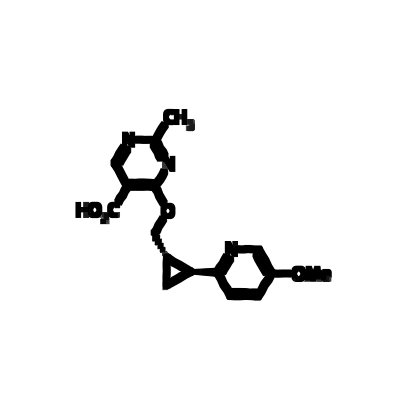 COc1ccc([C@H]2C[C@@H]2COc2nc(C)ncc2C(=O)O)nc1